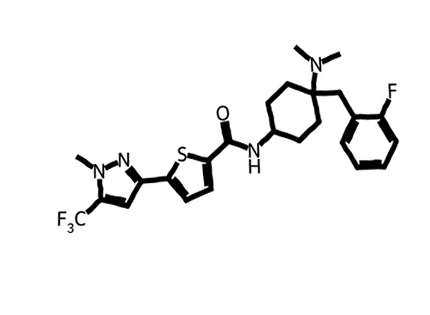 CN(C)C1(Cc2ccccc2F)CCC(NC(=O)c2ccc(-c3cc(C(F)(F)F)n(C)n3)s2)CC1